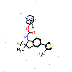 Cc1cscc1-c1ccc2c(c1)CC(C)(C)C2NC(=O)O[C@H]1CN2CCC1CC2